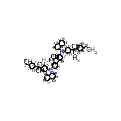 C=Cc1ccc(C(C)(C)c2ccc(N(c3ccc4c(c3)C(C)(C)c3cc(N(c5ccc(C(C)(C)c6ccc(C=C)cc6)cc5)c5cccc6ccccc56)ccc3-4)c3cccc4ccccc34)cc2)cc1